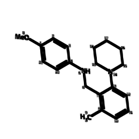 COc1ccc(NCc2c(C)cccc2N2CCCCC2)cc1